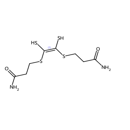 NC(=O)CCS/C(S)=C(/S)SCCC(N)=O